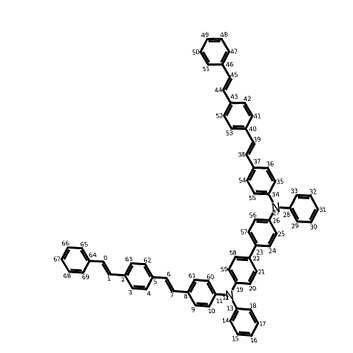 C(=C\c1ccc(/C=C/c2ccc(N(c3ccccc3)c3ccc(-c4ccc(N(c5ccccc5)c5ccc(/C=C/c6ccc(/C=C/c7ccccc7)cc6)cc5)cc4)cc3)cc2)cc1)/c1ccccc1